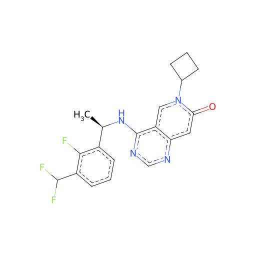 C[C@@H](Nc1ncnc2cc(=O)n(C3CCC3)cc12)c1cccc(C(F)F)c1F